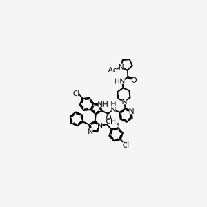 CC(=O)N1CCC[C@H]1C(=O)NC1CCN(c2ncccc2NC(=O)c2[nH]c3cc(Cl)ccc3c2-c2c(-c3ccccc3)ncn2C(C)c2ccc(Cl)cc2)CC1